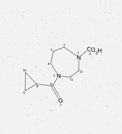 O=C(O)N1CCCN(C(=O)C2CC2)CC1